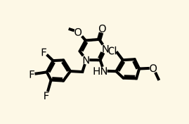 COc1ccc(Nc2nc(=O)c(OC)cn2Cc2cc(F)c(F)c(F)c2)c(Cl)c1